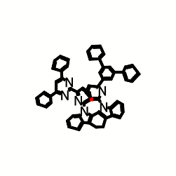 c1ccc(-c2cc(-c3ccccc3)cc(-c3cccc(-n4c5c(c6ccccc64)CCc4c-5n(-c5cccc(-c6nc(-c7ccccc7)cc(-c7ccccc7)n6)n5)c5ccccc45)n3)c2)cc1